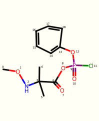 CONC(C)(C)C(=O)OP(=O)(Cl)Oc1ccccc1